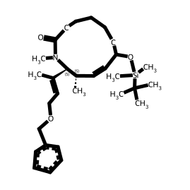 CC(=CCOCc1ccccc1)[C@@H]1[C@@H](C)C=CC(O[Si](C)(C)C(C)(C)C)CCCCCC(=O)N1C